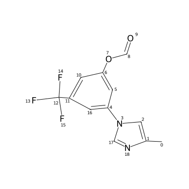 Cc1cn(-c2cc(OC=O)cc(C(F)(F)F)c2)cn1